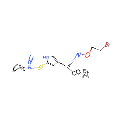 CCOC(=O)C(=NOCCBr)c1c[nH]c(SNC=O)c1